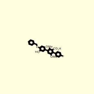 COc1cc(-c2ccc(OCc3ccccc3)c(O)c2)c(OC)c(C(=O)O)c1-c1ccc(F)cc1